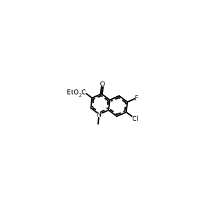 CCOC(=O)c1cn(C)c2cc(Cl)c(F)cc2c1=O